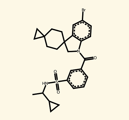 CC(NS(=O)(=O)c1cccc(C(=O)N2CC3(CCC4(CC4)CC3)c3cc(Br)ccc32)c1)C1CC1